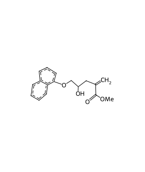 C=C(CC(O)COc1cccc2ccccc12)C(=O)OC